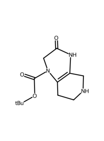 CC(C)(C)OC(=O)N1CC(=O)NC2=C1CCNC2